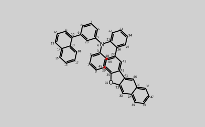 c1ccc(N(c2cccc(-c3cccc4ccccc34)c2)c2ccccc2-c2ccc3oc4cc5ccccc5cc4c3c2)cc1